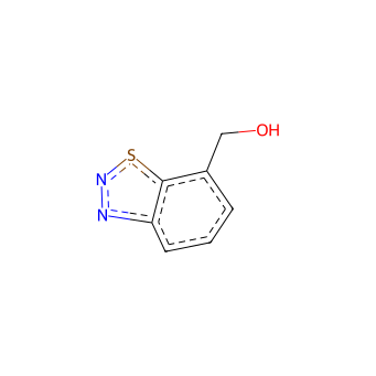 OCc1cccc2nnsc12